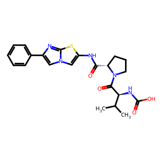 CC(C)[C@H](NC(=O)O)C(=O)N1CCC[C@H]1C(=O)Nc1cn2cc(-c3ccccc3)nc2s1